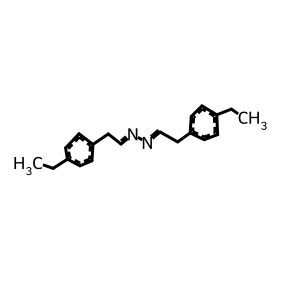 CCc1ccc(C/C=N/N=C/Cc2ccc(CC)cc2)cc1